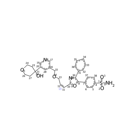 NS(=O)(=O)c1ccc(-c2oc(/C=C\COCc3cncc(C4(O)CCOCC4)c3)nc2-c2ccccc2)cc1